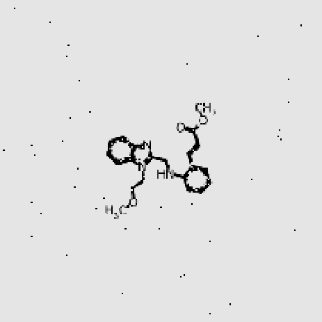 COCCn1c(CNc2ccccc2/C=C/C(=O)OC)nc2ccccc21